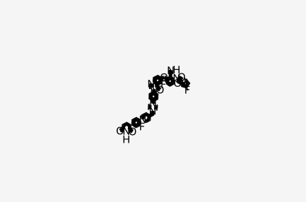 N#Cc1c(NS(=O)(=O)N2CC[C@@H](F)C2)ccc(F)c1Oc1ccc2ncn(-c3ccc(N4CCN(CC5CCN(c6ccc([C@H]7CCC(=O)NC7=O)cc6F)CC5)CC4)cc3)c(=O)c2c1